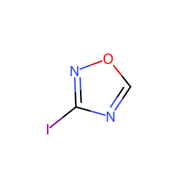 Ic1ncon1